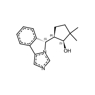 CC1(C)CC[C@H]([C@H]2c3ccccc3-c3cncn32)[C@@H]1O